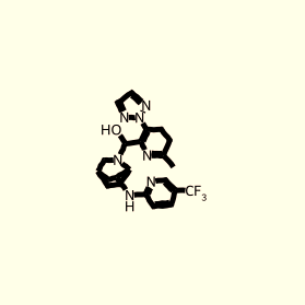 CC1=NC(C(O)N2CC3CCC2C(Nc2ccc(C(F)(F)F)cn2)C3)=C(n2nccn2)CC1